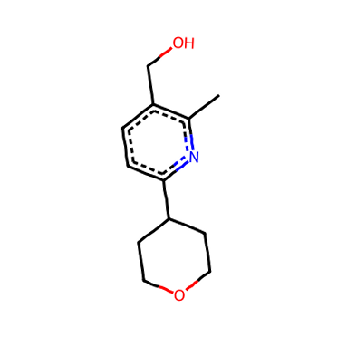 Cc1nc(C2CCOCC2)ccc1CO